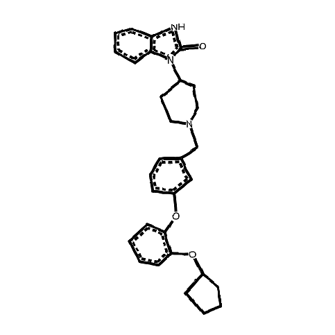 O=c1[nH]c2ccccc2n1C1CCN(Cc2cccc(Oc3ccccc3OC3CCCC3)c2)CC1